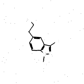 CC(C)n1nc(Cl)c2cc(CCO)ccc21